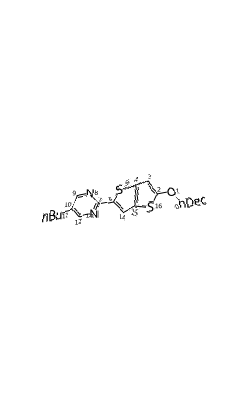 CCCCCCCCCCOc1cc2sc(-c3ncc(CCCC)cn3)cc2s1